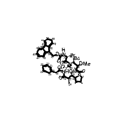 CC[C@H](C)[C@@H]([C@H](CC(=O)N1CCCC1[C@H](OC)[C@@H](C)C(=O)N[C@@H](Cc1ccccc1)C(=O)O)OC)N(C)C(=O)[C@@H](NC(=O)OCC1c2ccccc2-c2ccccc21)C(C)C